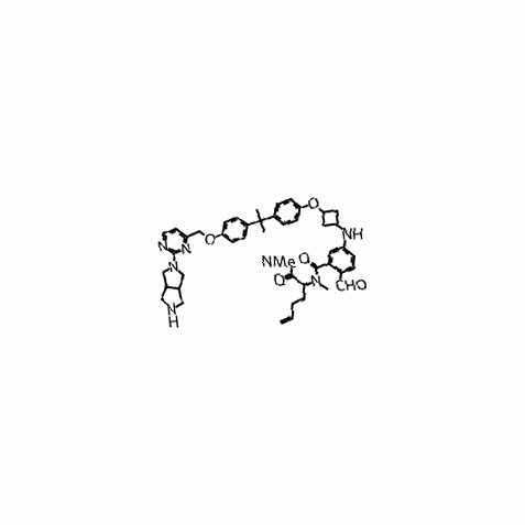 C=CCCC(C(=O)NC)N(C)C(=O)c1cc(NC2CC(Oc3ccc(C(C)(C)c4ccc(OCc5ccnc(N6CC7CNCC7C6)n5)cc4)cc3)C2)ccc1C=O